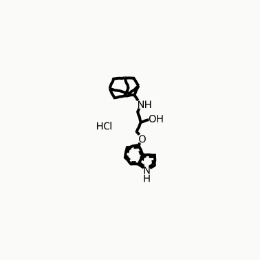 Cl.OC(CNC1C2CC3CC(C2)CC1C3)COc1cccc2[nH]ccc12